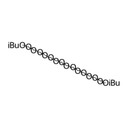 CC(C)COCCOCCOCCOCCOCCOCCOCCOCCOCCOCCOCCOCCOCCOCCOCCOCC(C)C